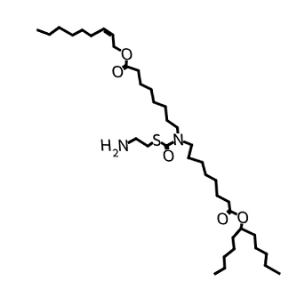 CCCCCC/C=C\COC(=O)CCCCCCCN(CCCCCCCC(=O)OC(CCCCC)CCCCC)C(=O)SCCN